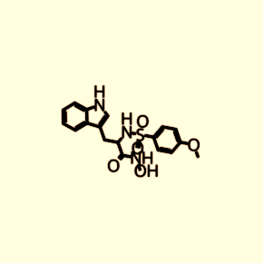 COc1ccc(S(=O)(=O)NC(Cc2c[nH]c3ccccc23)C(=O)NO)cc1